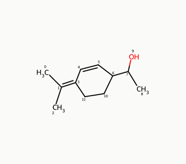 CC(C)=C1C=CC(C(C)O)CC1